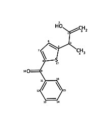 C=C(O)C(C)c1ccc(C(=O)c2ccccc2)s1